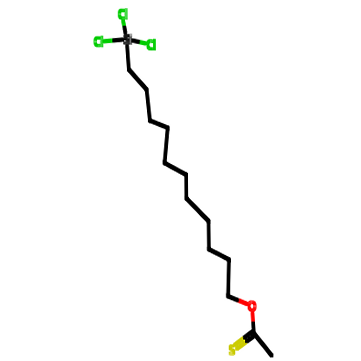 CC(=S)OCCCCCCCCCCC[Si](Cl)(Cl)Cl